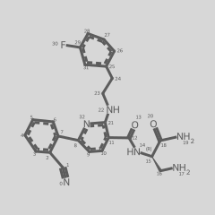 N#Cc1ccccc1-c1ccc(C(=O)N[C@H](CN)C(N)=O)c(NCCc2cccc(F)c2)n1